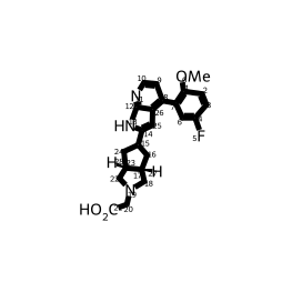 COc1ccc(F)cc1-c1ccnc2[nH]c(C3C[C@@H]4CN(CC(=O)O)C[C@@H]4C3)cc12